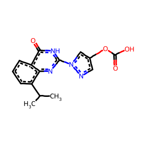 CC(C)c1cccc2c(=O)[nH]c(-n3cc(OC(=O)O)cn3)nc12